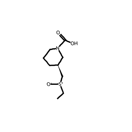 CC[S+]([O-])C[C@H]1CCCN(C(=O)O)C1